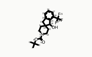 CC(C)(C)OC(=O)N1CCC2(CC1)Cc1cccc(C(F)(F)F)c1C2O